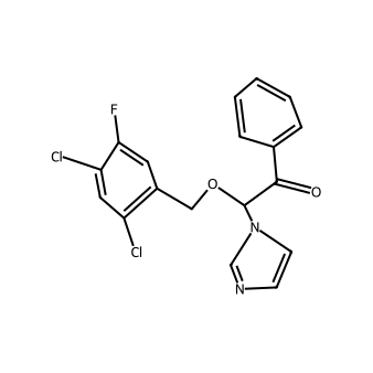 O=C(c1ccccc1)C(OCc1cc(F)c(Cl)cc1Cl)n1ccnc1